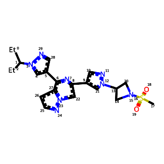 CCC(CC)n1cc(-c2nc(-c3cnn(C4CN(S(C)(=O)=O)C4)c3)cn3nccc23)cn1